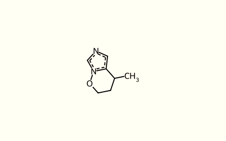 CC1CCOn2cncc21